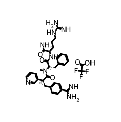 CN(C(=O)[C@@H](Cc1ccc(C(=N)N)cc1)c1cccnc1)[C@@H](Cc1ccccc1)C(=O)NC(CCCNC(=N)N)C(N)=O.O=C(O)C(F)(F)F